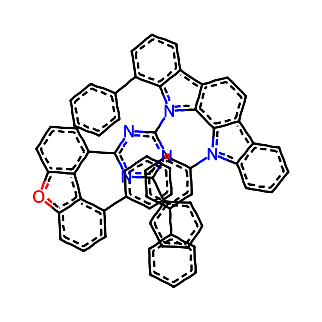 c1ccc(-c2cccc(-n3c4ccccc4c4ccc5c6cccc(-c7ccccc7)c6n(-c6nc(-c7ccccc7)nc(-c7cccc8oc9cccc(-c%10ccccc%10)c9c78)n6)c5c43)c2)cc1